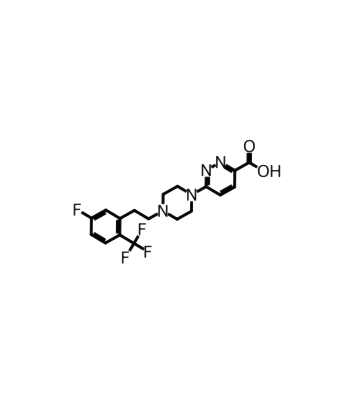 O=C(O)c1ccc(N2CCN(CCc3cc(F)ccc3C(F)(F)F)CC2)nn1